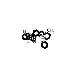 C[C@H]1CC[C@H](c2ccccc2)S(=O)(=O)N1Cc1ccc(N2C[C@H]3CC[C@@H](C2)[C@H]3n2cnnc2)cc1F